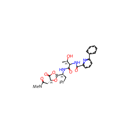 CNC(=O)C[C@H]1OB([C@H](CC(C)C)NC(=O)C(NC(=O)c2cccc(-c3ccccc3)n2)[C@@H](C)O)OC1=O